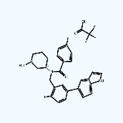 CN1CCC[C@H](N(Cc2cc(-c3ccc4[nH]ccc4c3)ccc2F)C(=O)c2ccc(F)cc2)C1.O=C(O)C(F)(F)F